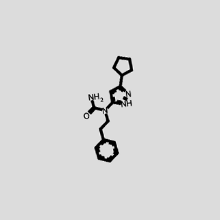 NC(=O)N(CCc1ccccc1)c1cc(C2CCCC2)n[nH]1